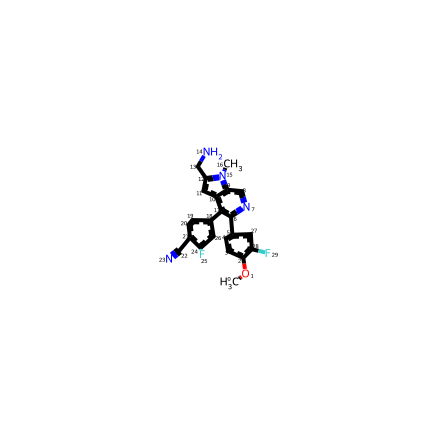 COc1ccc(-c2ncc3c(cc(CN)n3C)c2-c2ccc(C#N)c(F)c2)cc1F